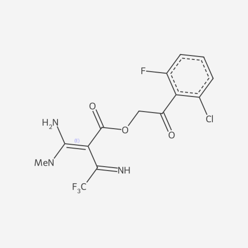 CN/C(N)=C(\C(=N)C(F)(F)F)C(=O)OCC(=O)c1c(F)cccc1Cl